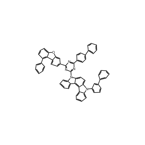 c1ccc(-c2ccc(-c3nc(-c4ccc5c(c4)oc4cccc(-c6ccccc6)c45)nc(-n4c5ccccc5c5c6c7ccccc7n(-c7cccc(-c8ccccc8)c7)c6ccc54)n3)cc2)cc1